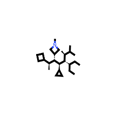 CCC(CC)[C@H]([C@@H](C1CC1)[C@@H](C1CN(C)C1)[C@@H](C)C1CCC1)[C@@H](C)C(C)C